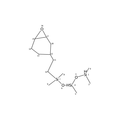 C[SiH](C)O[SiH](C)O[Si](C)(C)CCC1CCC2OC2C1